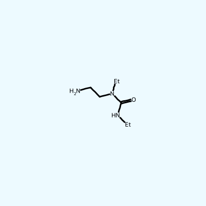 CCNC(=O)N(CC)CCN